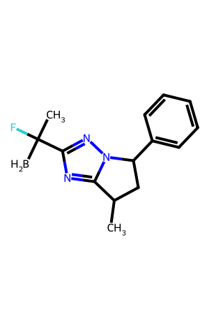 BC(C)(F)c1nc2n(n1)C(c1ccccc1)CC2C